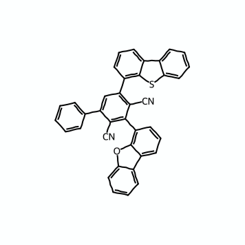 N#Cc1c(-c2ccccc2)cc(-c2cccc3c2sc2ccccc23)c(C#N)c1-c1cccc2c1oc1ccccc12